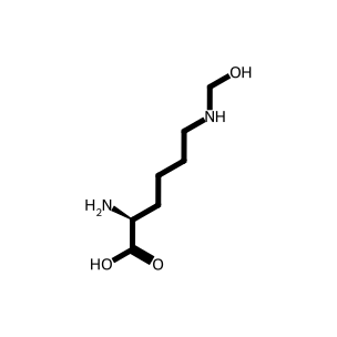 N[C@@H](CCCCNCO)C(=O)O